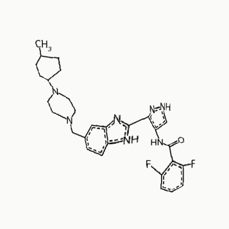 CC1CCC(N2CCN(Cc3ccc4[nH]c(-c5n[nH]cc5NC(=O)c5c(F)cccc5F)nc4c3)CC2)CC1